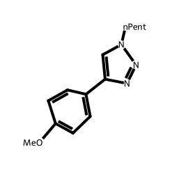 CCCCCn1cc(-c2ccc(OC)cc2)nn1